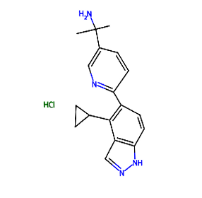 CC(C)(N)c1ccc(-c2ccc3[nH]ncc3c2C2CC2)nc1.Cl